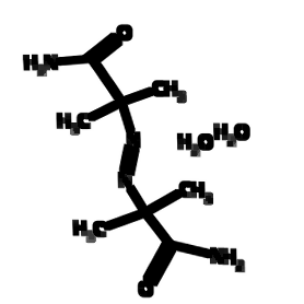 CC(C)(/N=N/C(C)(C)C(N)=O)C(N)=O.O.O